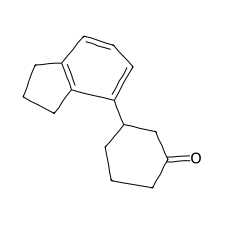 O=C1CCCC(c2cccc3c2CCC3)C1